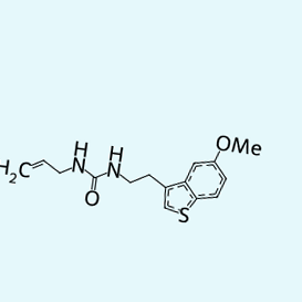 C=CCNC(=O)NCCc1csc2ccc(OC)cc12